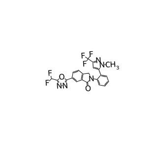 Cn1nc(C(F)(F)F)cc1-c1ccccc1N1Cc2ccc(-c3nnc(C(F)F)o3)cc2C1=O